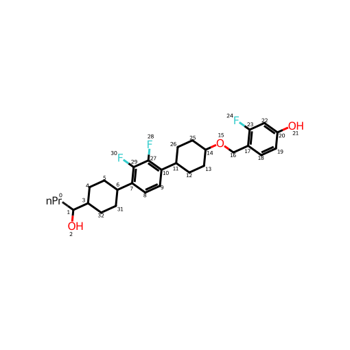 CCCC(O)C1CCC(c2ccc(C3CCC(OCc4ccc(O)cc4F)CC3)c(F)c2F)CC1